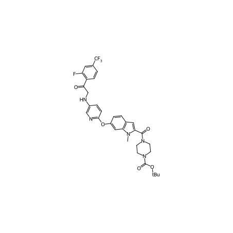 Cn1c(C(=O)N2CCN(C(=O)OC(C)(C)C)CC2)cc2ccc(Oc3ccc(NCC(=O)c4ccc(C(F)(F)F)cc4F)cn3)cc21